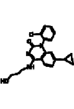 O=c1nc(NCCCO)c2ccc(C3CC3)cc2n1-c1ccccc1Cl